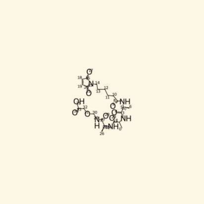 CC(NC(=O)[C@H](C)NC(=O)CCCCCN1C(=O)C=CC1=O)C(=O)N[C@@H](C)C(=O)NCOCC(=O)O